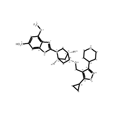 O=C(O)c1cc(OC(F)(F)F)c2nc(N3C[C@@H]4C[C@H]3C[C@H]4OCc3c(C4CCOCC4)noc3C3CC3)sc2c1